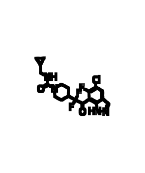 O=C(NCC1CC1)N1CCC(C(F)(F)C(=O)c2c(F)c(Cl)cc3cn[nH]c23)CC1